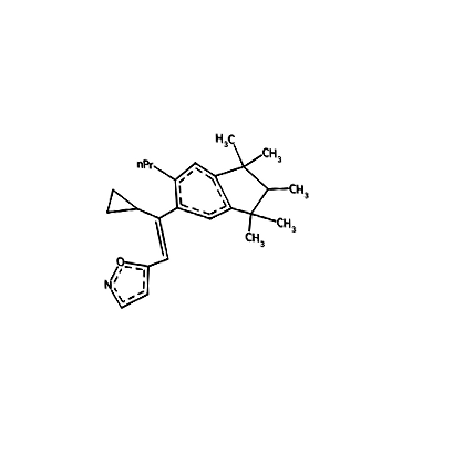 CCCc1cc2c(cc1C(=Cc1ccno1)C1CC1)C(C)(C)C(C)C2(C)C